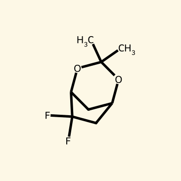 CC1(C)OC2CC(O1)C(F)(F)C2